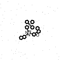 c1ccc([Si](c2ccccc2)(c2ccccc2)c2cccc(-c3nc(-c4ccc5ccccc5c4)nc(-c4ccc5oc6ccc7ccccc7c6c5c4)n3)c2)cc1